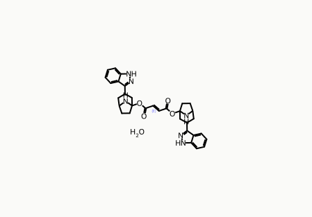 O.O=C(/C=C/C(=O)OC12CCC(CC(c3n[nH]c4ccccc34)C1)N2)OC12CCC(CC(c3n[nH]c4ccccc34)C1)N2